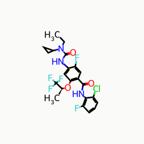 CCN(C(=O)Nc1cc(O[C@@H](C)C(F)(F)F)c(C(=O)Nc2c(F)cccc2Cl)cc1F)C1CC1